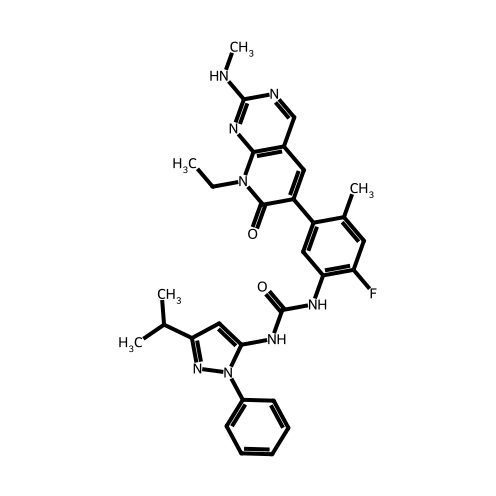 CCn1c(=O)c(-c2cc(NC(=O)Nc3cc(C(C)C)nn3-c3ccccc3)c(F)cc2C)cc2cnc(NC)nc21